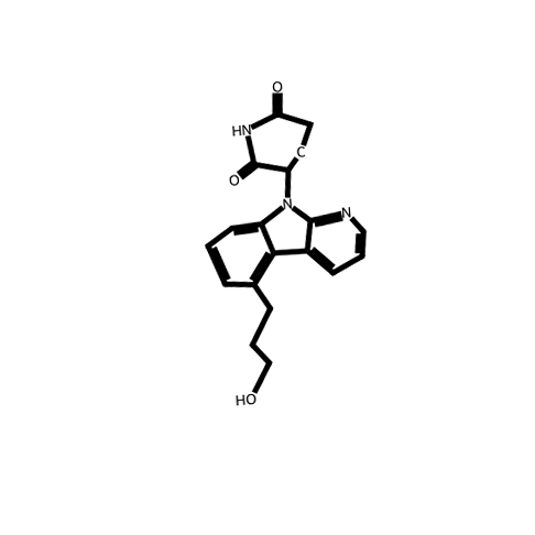 O=C1CCC(n2c3cccc(CCCO)c3c3cccnc32)C(=O)N1